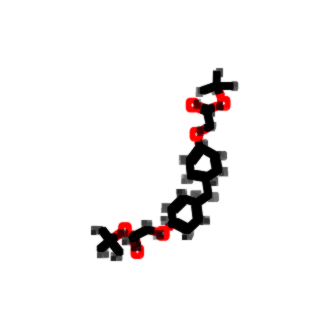 CC(C)(C)OC(=O)COc1ccc(Cc2ccc(OCC(=O)OC(C)(C)C)cc2)cc1